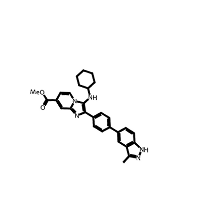 COC(=O)c1ccn2c(NC3CCCCC3)c(-c3ccc(-c4ccc5[nH]nc(C)c5c4)cc3)nc2c1